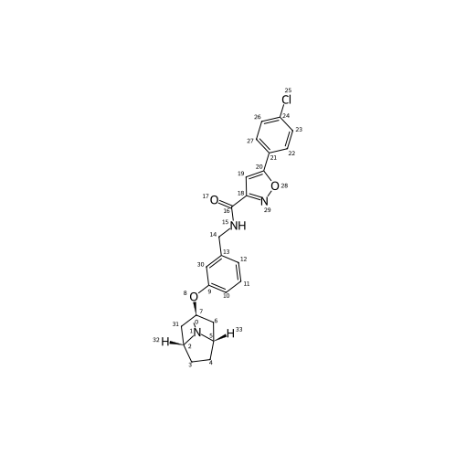 CN1[C@@H]2CC[C@H]1C[C@H](Oc1cccc(CNC(=O)c3cc(-c4ccc(Cl)cc4)on3)c1)C2